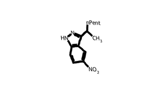 CCCCCC(C)c1n[nH]c2ccc([N+](=O)[O-])cc12